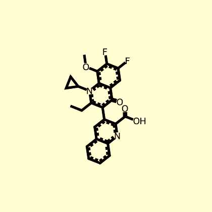 CCc1c(-c2cc3ccccc3nc2C(=O)O)c(=O)c2cc(F)c(F)c(OC)c2n1C1CC1